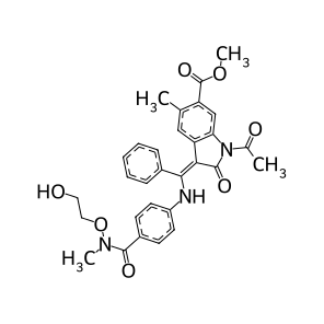 COC(=O)c1cc2c(cc1C)/C(=C(/Nc1ccc(C(=O)N(C)OCCO)cc1)c1ccccc1)C(=O)N2C(C)=O